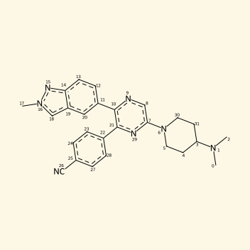 CN(C)C1CCN(c2cnc(-c3ccc4nn(C)cc4c3)c(-c3ccc(C#N)cc3)n2)CC1